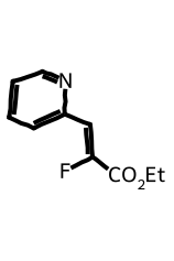 CCOC(=O)C(F)=Cc1ccccn1